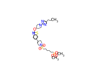 CCCc1cnc(N2CCC(Oc3nc4ccc(C5=CCN(S(=O)(=O)CCCCCCP(=O)(OC)OC)CC5)cc4s3)CC2)nc1